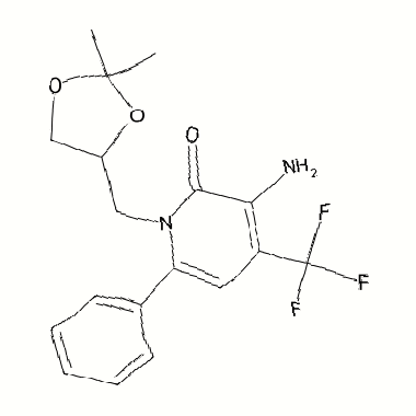 CC1(C)OCC(Cn2c(-c3ccccc3)cc(C(F)(F)F)c(N)c2=O)O1